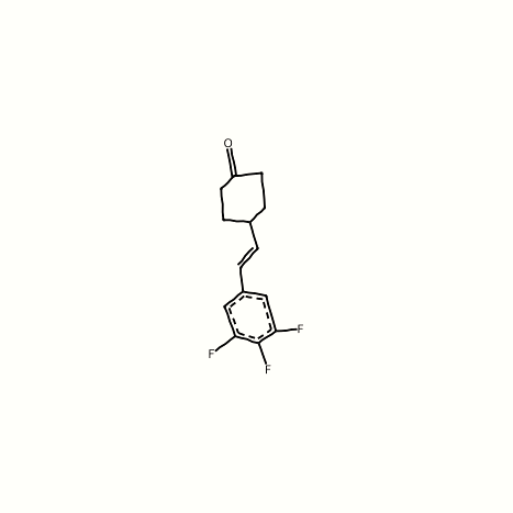 O=C1CCC(C=Cc2cc(F)c(F)c(F)c2)CC1